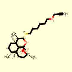 C#CCOCCCCCCS[C@@H]1O[C@@H]2O[C@]3(C)CC[C@H]4[C@H](C)CC[C@@H]([C@H]1C)[C@@]24OO3